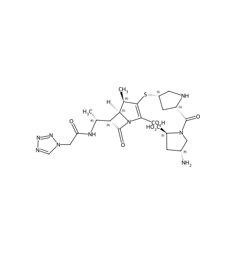 C[C@@H](NC(=O)Cn1cnnn1)[C@H]1C(=O)N2C(C(=O)O)=C(S[C@@H]3CN[C@H](C(=O)N4C[C@H](N)C[C@H]4C(=O)O)C3)[C@H](C)[C@H]12